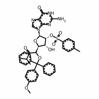 COc1ccc(C(OC(C(=O)C(C)C)[C@H]2O[C@@H](n3cnc4c(=O)[nH]c(N)nc43)[C@H](OS(=O)(=O)c3ccc(C)cc3)[C@@H]2O)(c2ccccc2)c2ccccc2)cc1